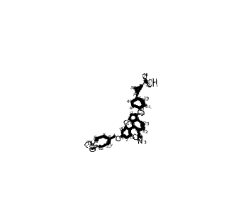 Cc1cc(OCC2CCS(=O)(=O)CC2)cc(C)c1-c1c(C#N)ccc2c1CC[C@H]2Oc1ccc([C@H]2C[C@@H]2C(=O)O)cc1